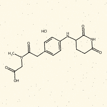 CN(CC(=O)O)C(=O)Cc1ccc(NC2CCC(=O)NC2=O)cc1.Cl